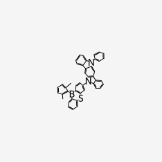 Cc1cccc(C)c1B1c2ccccc2Sc2cc(-n3c4ccccc4c4cc5c(cc43)c3ccccc3n5-c3ccccc3)ccc21